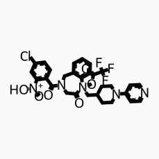 O=C(c1ccc(Cl)cc1[N+](=O)O)N1CC(=O)[N+](CC2CCN(c3ccncc3)CC2)(OC(=O)C(F)(F)F)c2ccccc2C1